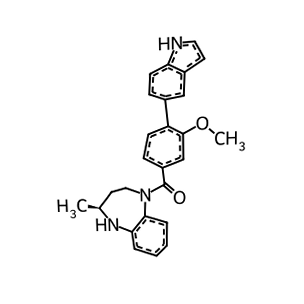 COc1cc(C(=O)N2CC[C@H](C)Nc3ccccc32)ccc1-c1ccc2[nH]ccc2c1